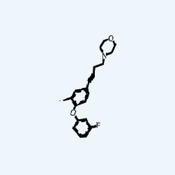 [CH2]c1cc(C#CCCN2CCOCC2)ccc1Oc1cccc(F)c1